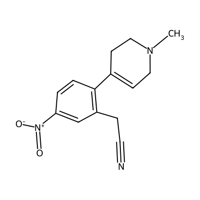 CN1CC=C(c2ccc([N+](=O)[O-])cc2CC#N)CC1